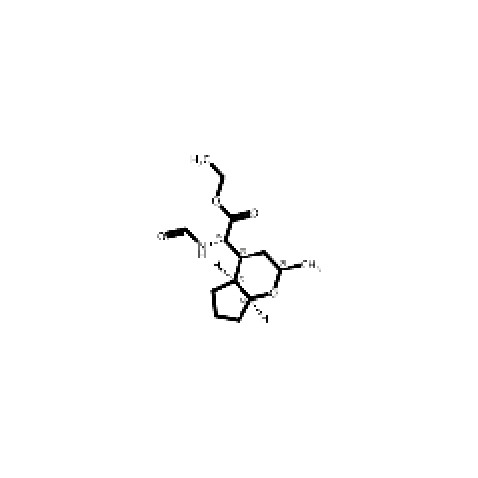 CCOC(=O)[C@@H](NC=O)[C@H]1C[C@@H](C)O[C@H]2CCC[C@@H]12